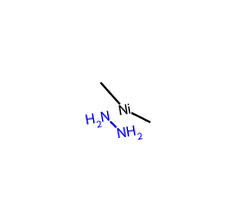 NN.[CH3][Ni][CH3]